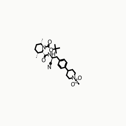 C[C@@H]1CC[C@H](C)N(C(=O)OC(C)(C)C)[C@@H]1C(=O)N[C@H](C#N)Cc1ccc(C2CCN(S(C)(=O)=O)CC2)cc1